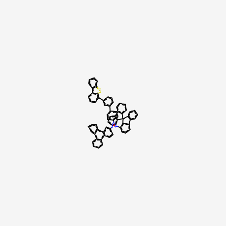 c1cc(-c2ccc(N(c3ccc4c5ccccc5c5ccccc5c4c3)c3cccc4c3C3(c5ccccc5-c5ccccc53)c3ccccc3-4)cc2)cc(-c2cccc3c2sc2ccccc23)c1